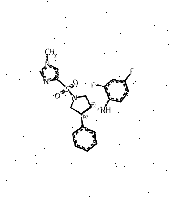 Cn1cnc(S(=O)(=O)N2C[C@H](Nc3ccc(F)cc3F)[C@@H](c3ccccc3)C2)c1